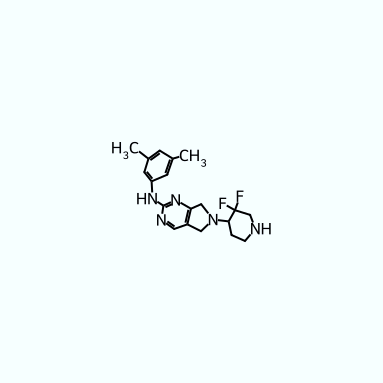 Cc1cc(C)cc(Nc2ncc3c(n2)CN(C2CCNCC2(F)F)C3)c1